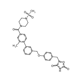 Cc1cc(C(=O)N2CCN(S(C)(=O)=O)CC2)ccc1-c1cccc(COc2ccc(Cn3oc(=O)[nH]c3=O)cc2)c1